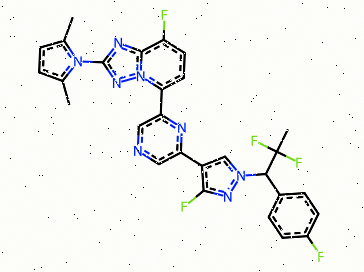 Cc1ccc(C)n1-c1nc2c(F)ccc(-c3cncc(-c4cn(C(c5ccc(F)cc5)C(C)(F)F)nc4F)n3)n2n1